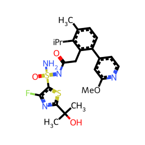 COc1cc(-c2ccc(C)c(C(C)C)c2CC(=O)N=S(N)(=O)c2sc(C(C)(C)O)nc2F)ccn1